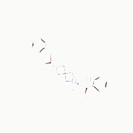 CC(C)(C(=O)c1ccccc1)N1CC2(CN(C(=O)Cc3ccc(F)cc3)C2)C1